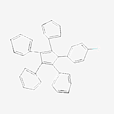 Fc1ccc(C2C(c3ccccc3)=C(c3ccccc3)C(c3ccccc3)=C2c2ccccc2)cc1